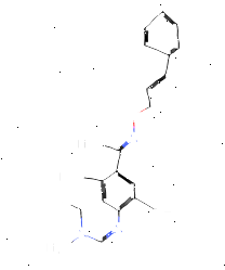 CCN(C)/C=N\c1cc(C)c(/C(C)=N/OC/C=C/c2ccccc2)cc1C